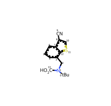 CC(C)(C)N(Cc1cccc2c(C#N)csc12)C(=O)O